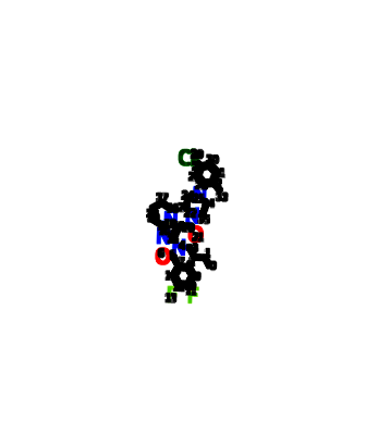 CCCCN(C(=O)c1ccc(F)c(F)c1)c1nc2n(c1C(=O)N1CCN(c3cc(Cl)ccc3C)CC1)CCCC2